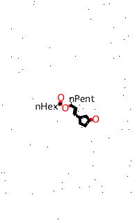 CCCCCCC(=O)O[C@@H](C=CC1CCC(=O)C1)CCCCC